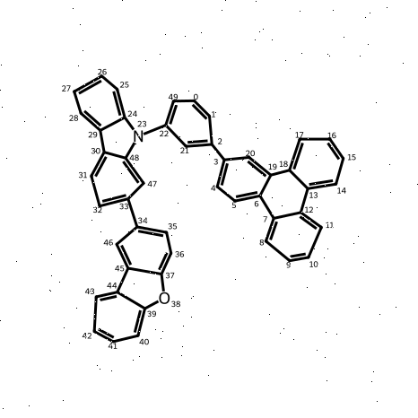 c1cc(-c2ccc3c4ccccc4c4ccccc4c3c2)cc(-n2c3ccccc3c3ccc(-c4ccc5oc6ccccc6c5c4)cc32)c1